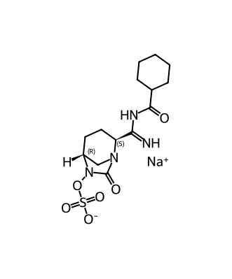 N=C(NC(=O)C1CCCCC1)[C@@H]1CC[C@@H]2CN1C(=O)N2OS(=O)(=O)[O-].[Na+]